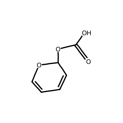 O=C(O)OC1C=CC=CO1